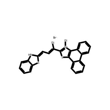 CCC(=CC=C1Nc2ccccc2S1)c1sc2c3ccccc3c3ccccc3c2[n+]1CC.[Br-]